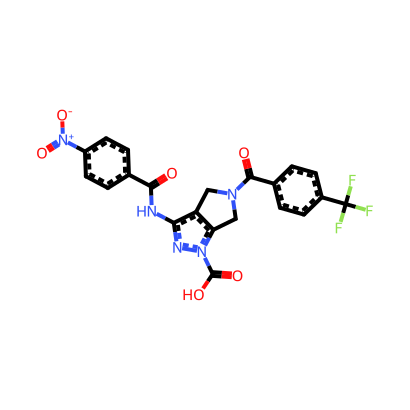 O=C(Nc1nn(C(=O)O)c2c1CN(C(=O)c1ccc(C(F)(F)F)cc1)C2)c1ccc([N+](=O)[O-])cc1